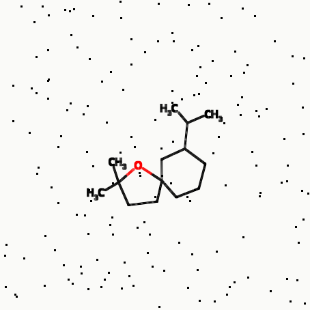 CC(C)C1CCCC2(CCC(C)(C)O2)C1